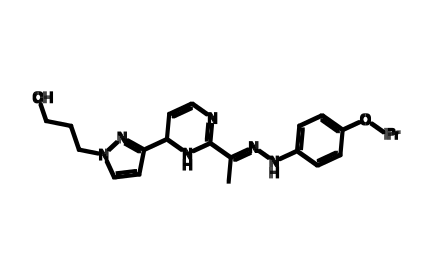 C/C(=N\Nc1ccc(OC(C)C)cc1)C1=NC=CC(c2ccn(CCCO)n2)N1